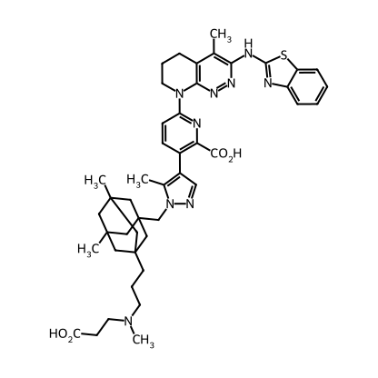 Cc1c(Nc2nc3ccccc3s2)nnc2c1CCCN2c1ccc(-c2cnn(CC34CC5(C)CC(C)(CC(CCCN(C)CCC(=O)O)(C5)C3)C4)c2C)c(C(=O)O)n1